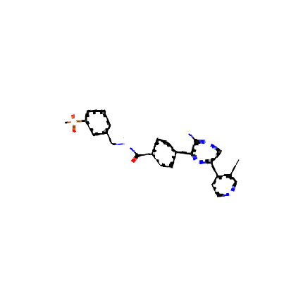 Cc1cnccc1-c1cnc(N)c(-c2ccc(C(=O)NCc3cccc(S(C)(=O)=O)c3)cc2)n1